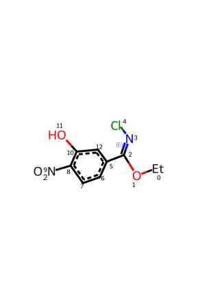 CCO/C(=N/Cl)c1ccc([N+](=O)[O-])c(O)c1